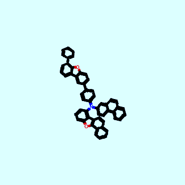 c1ccc(-c2cccc3c2oc2ccc(-c4ccc(N(c5ccc6c(ccc7ccccc76)c5)c5cccc6oc7c8ccccc8ccc7c56)cc4)cc23)cc1